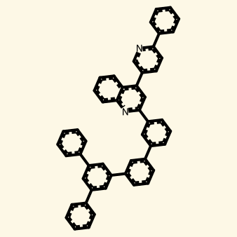 c1ccc(-c2cc(-c3ccccc3)cc(-c3cccc(-c4cccc(-c5cc(-c6ccc(-c7ccccc7)nc6)c6ccccc6n5)c4)c3)c2)cc1